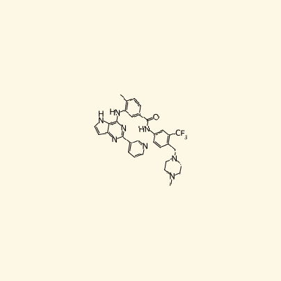 Cc1ccc(C(=O)Nc2ccc(CN3CCN(C)CC3)c(C(F)(F)F)c2)cc1Nc1nc(-c2cccnc2)nc2cc[nH]c12